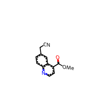 COC(=O)c1ccnc2ccc(CC#N)cc12